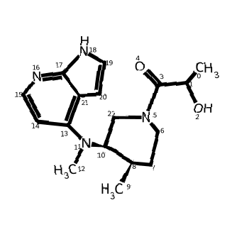 CC(O)C(=O)N1CC[C@@H](C)[C@@H](N(C)c2ccnc3[nH]ccc23)C1